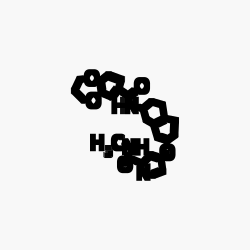 CNC(=O)c1cc(Oc2ccc3c(c2)CC(NC(=O)c2ccc4c(c2)OCCCO4)CC3)ccn1